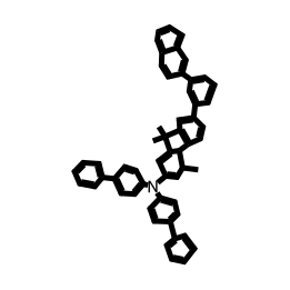 CC1C=C(N(c2ccc(-c3ccccc3)cc2)c2ccc(-c3ccccc3)cc2)C=C2C1c1ccc(-c3cccc(-c4ccc5ccccc5c4)c3)cc1C2(C)C